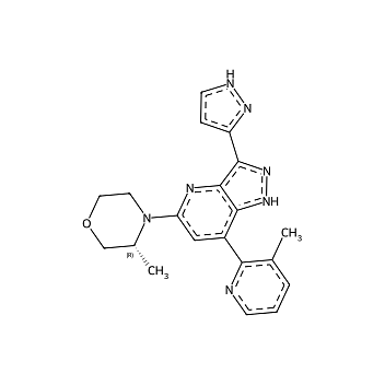 Cc1cccnc1-c1cc(N2CCOC[C@H]2C)nc2c(-c3cc[nH]n3)n[nH]c12